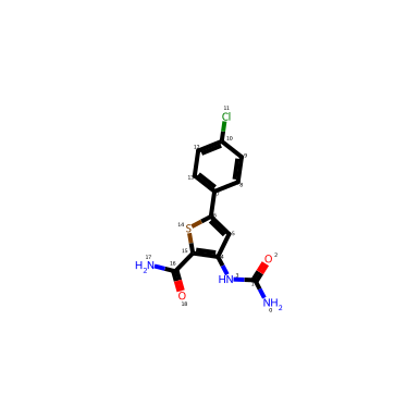 NC(=O)Nc1cc(-c2ccc(Cl)cc2)sc1C(N)=O